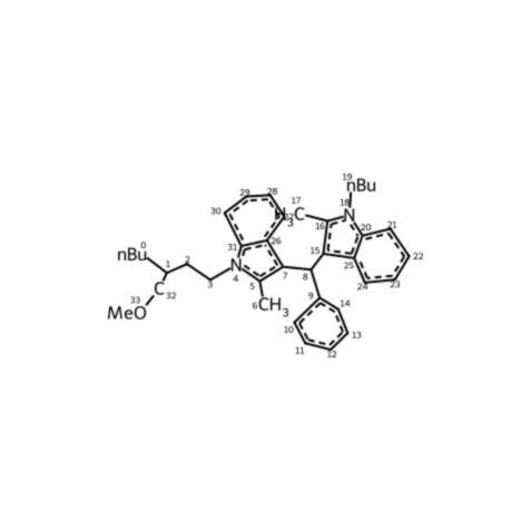 CCCCC(CCn1c(C)c(C(c2ccccc2)c2c(C)n(CCCC)c3ccccc23)c2ccccc21)COC